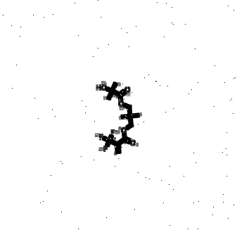 C=C(C(=O)OCC(C)(C)COC(=O)C(C)(C)O)C(F)(F)F